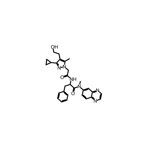 Cc1c(CCO)c(C2CC2)nn1CC(=O)NC(Cc1ccccc1)C(=O)N(C)c1ccc2nccnc2c1